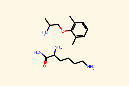 Cc1cccc(C)c1OCC(C)N.NCCCCC(N)C(N)=O